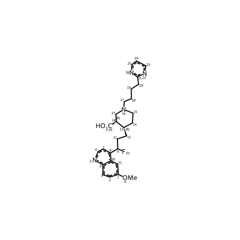 COc1ccc2nccc(C(F)CC[C@@H]3CCN(CCCCc4ncccn4)C[C@@H]3C(=O)O)c2c1